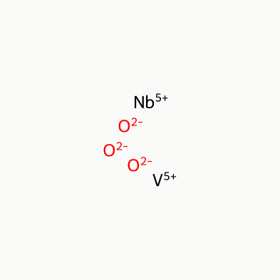 [Nb+5].[O-2].[O-2].[O-2].[V+5]